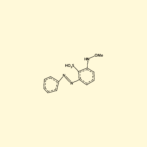 CONc1cccc(N=Nc2ccccc2)c1S(=O)(=O)O